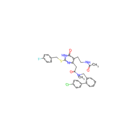 CC(=O)NCCc1c(CC(=O)N(C)Cc2ccccc2-c2ccc(Cl)cc2)nc(SCc2ccc(F)cc2)[nH]c1=O